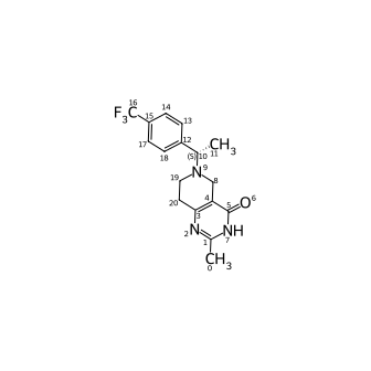 Cc1nc2c(c(=O)[nH]1)CN([C@@H](C)c1ccc(C(F)(F)F)cc1)CC2